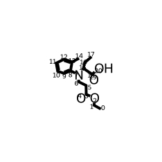 CCOC(=O)CCN(c1ccccc1C)C(CC)C(=O)O